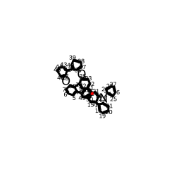 c1ccc(-c2cccc3c2-c2cc(-c4ccc5c6ccccc6n(-c6ccccc6)c5c4)ccc2Oc2ccccc2-c2ccccc2O3)cc1